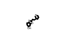 Oc1ccc2nc(C=Cc3cccnc3)oc2c1